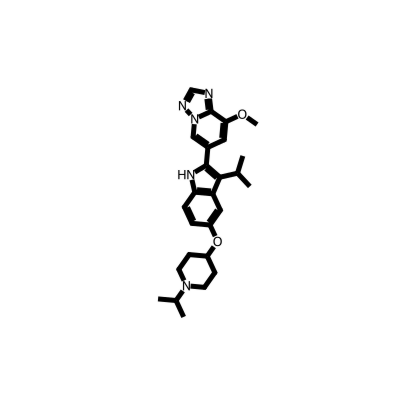 COc1cc(-c2[nH]c3ccc(OC4CCN(C(C)C)CC4)cc3c2C(C)C)cn2ncnc12